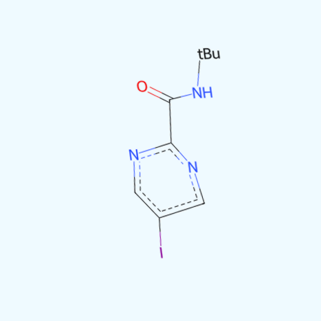 CC(C)(C)NC(=O)c1ncc(I)cn1